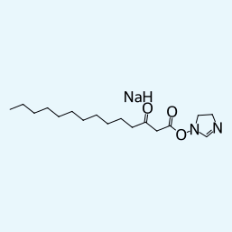 CCCCCCCCCCCC(=O)CC(=O)ON1C=NCC1.[NaH]